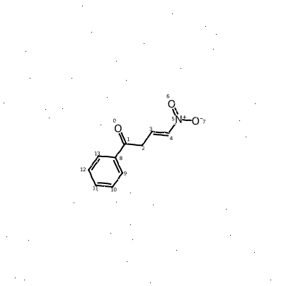 O=C(CC=C[N+](=O)[O-])c1ccccc1